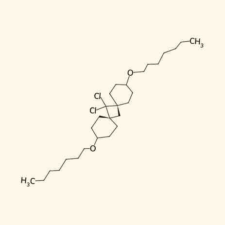 CCCCCCCOC1CC[C@]2(CC1)C[C@@]1(CCC(OCCCCCCC)CC1)C2(Cl)Cl